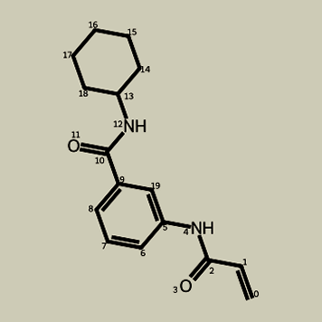 C=CC(=O)Nc1cccc(C(=O)NC2CCCCC2)c1